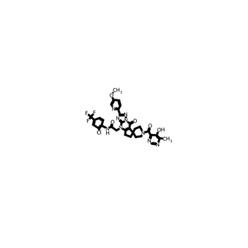 COc1ccc(-c2nc3n(CC(=O)Nc4ccc(C(F)(F)F)cc4Cl)c4c(c(=O)n3n2)C2(CC4)CCN(C(=O)c3ncnc(C)c3O)CC2)nc1